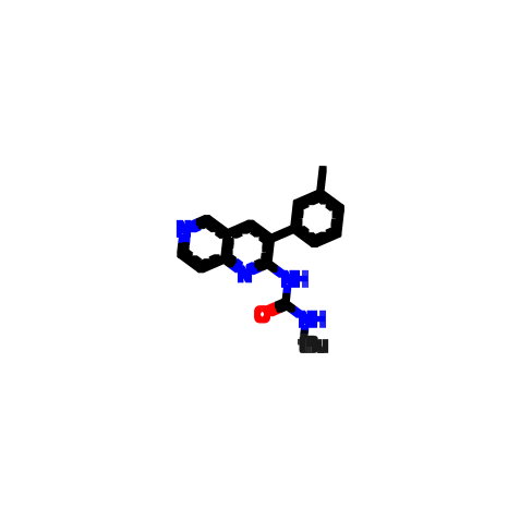 Cc1cccc(-c2cc3cnccc3nc2NC(=O)NC(C)(C)C)c1